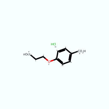 CCCCCCCCCCOc1ccc(C(=O)O)cc1.Cl